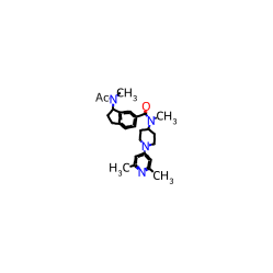 CC(=O)N(C)C1CCc2ccc(C(=O)N(C)C3CCN(c4cc(C)nc(C)c4)CC3)cc21